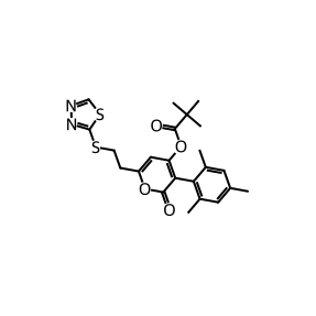 Cc1cc(C)c(-c2c(OC(=O)C(C)(C)C)cc(CCSc3nncs3)oc2=O)c(C)c1